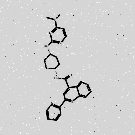 CN(C)c1ccnc(N[C@H]2CC[C@@H](NC(=O)c3cc(-c4ccccc4)nc4ccccc34)CC2)n1